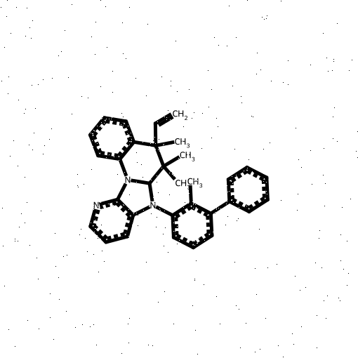 C=CC1(C)c2ccccc2N2c3ncccc3N(c3cccc(-c4ccccc4)c3C)C2C1(C)C